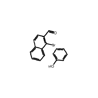 O=Cc1ccc2ccccc2c1Br.Oc1ccccc1